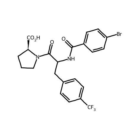 O=C(NC(Cc1ccc(C(F)(F)F)cc1)C(=O)N1CCC[C@H]1C(=O)O)c1ccc(Br)cc1